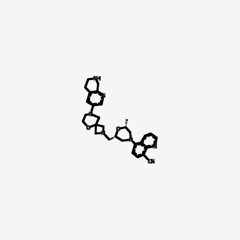 C[C@@H]1CN(c2ccc(C#N)c3ncccc23)C[C@H](CN2CC3(C2)CN(c2cnc4c(c2)CCNC4)CCO3)O1